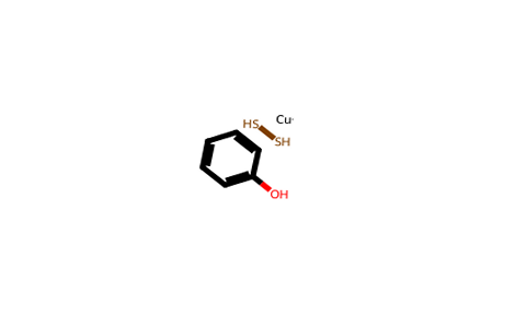 Oc1ccccc1.SS.[Cu]